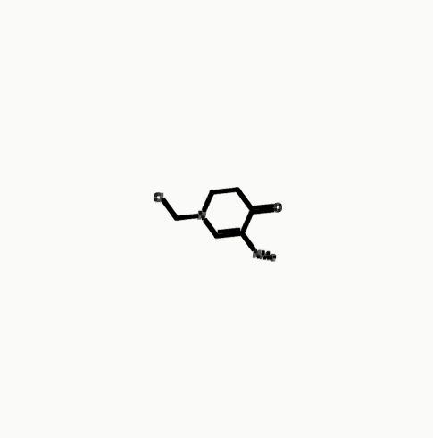 CNC1=CN(CCl)CCC1=O